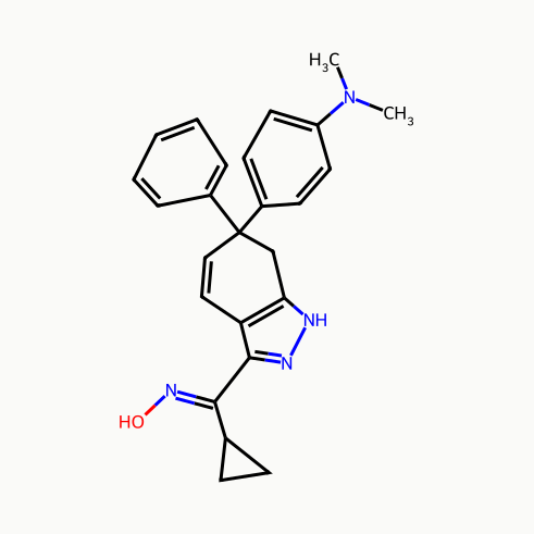 CN(C)c1ccc(C2(c3ccccc3)C=Cc3c(C(=NO)C4CC4)n[nH]c3C2)cc1